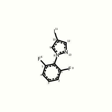 Fc1cccc(F)c1-n1cc(I)cn1